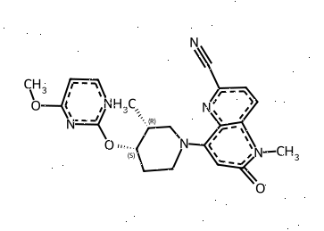 COc1ccnc(O[C@H]2CCN(c3cc(=O)n(C)c4ccc(C#N)nc34)C[C@H]2C)n1